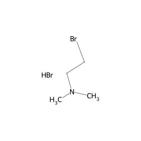 Br.CN(C)CCBr